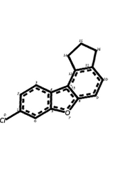 Clc1ccc2c(c1)oc1ccc3c(c12)CCC3